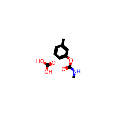 CNC(=O)Oc1cccc(C)c1.O=C(O)O